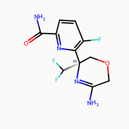 NC(=O)c1ccc(F)c([C@@]2(C(F)F)COCC(N)=N2)n1